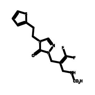 O=C(O)NCC(Cn1ncn(CCc2cccs2)c1=O)=C(F)F